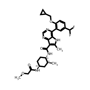 COCC(=O)N[C@H]1CC[C@H](NC(=O)c2c(C)[nH]c3c(-c4cc(C(F)F)ccc4OCC4CC4)ncnc23)[C@@H](C)C1